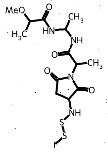 COC(C)C(=O)NC(C)NC(=O)C(C)N1C(=O)CC(NSSI)C1=O